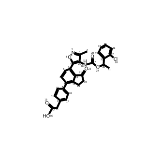 Cc1noc(-c2ccc(-c3ccc(CC(=O)O)cc3)c3c2C(=O)CC3)c1NC(=O)OC(C)c1ccccc1Cl